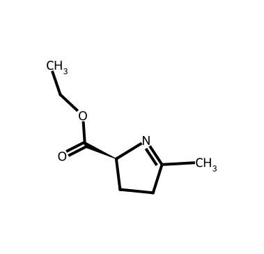 CCOC(=O)[C@@H]1CCC(C)=N1